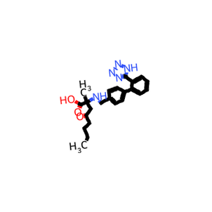 CCCCC(=O)CC(C)(NCc1ccc(-c2ccccc2-c2nnn[nH]2)cc1)C(=O)O